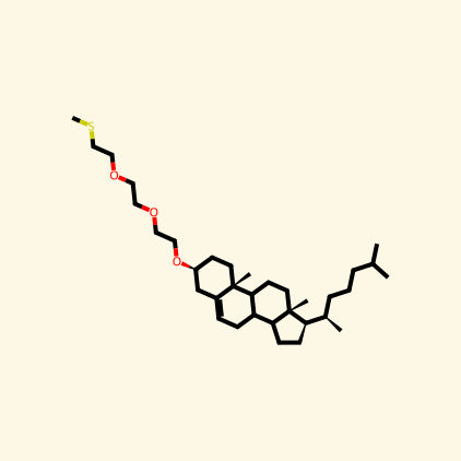 CSCCOCCOCCO[C@H]1CC[C@@]2(C)C(=CCC3C2CC[C@@]2(C)C3CC[C@@H]2[C@H](C)CCCC(C)C)C1